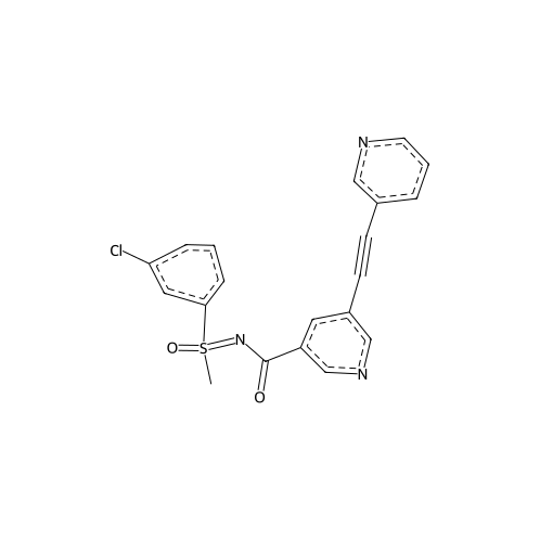 CS(=O)(=NC(=O)c1cncc(C#Cc2cccnc2)c1)c1cccc(Cl)c1